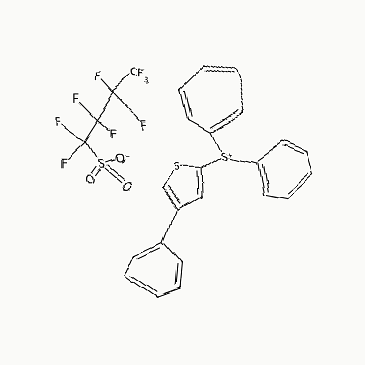 O=S(=O)([O-])C(F)(F)C(F)(F)C(F)(F)C(F)(F)F.c1ccc(-c2csc([S+](c3ccccc3)c3ccccc3)c2)cc1